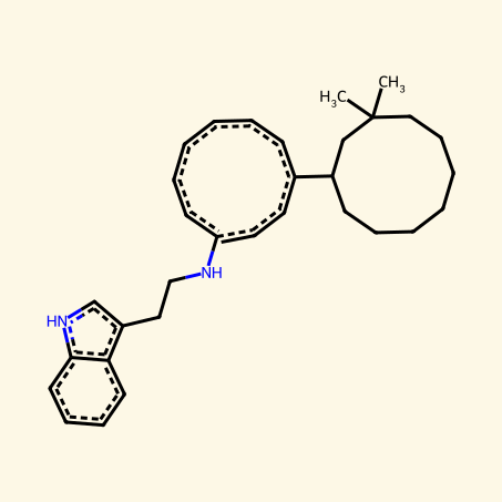 CC1(C)CCCCCCCC(c2ccccccc(NCCc3c[nH]c4ccccc34)cc2)C1